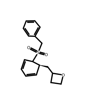 O=S(=O)(Cc1ccccc1)C1C=CC=C[C@@H]1CC1CCO1